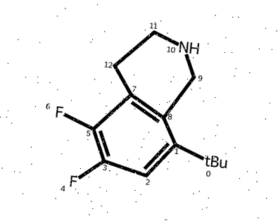 CC(C)(C)c1cc(F)c(F)c2c1CNCC2